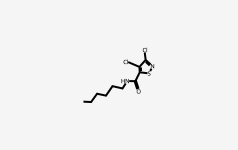 CCCCCCNC(=O)c1snc(Cl)c1Cl